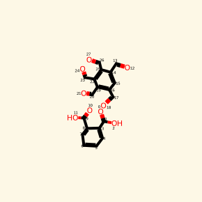 O=C(O)c1ccccc1C(=O)O.O=Cc1cc(C=O)c(C=O)c(C=O)c1C=O